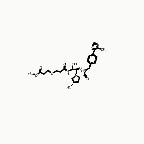 Cc1ncsc1-c1ccc(CNC(=O)[C@@H]2C[C@H](O)CN2C(=O)[C@@H](NC(=O)CCOCCC(=O)OC(C)(C)C)C(C)(C)C)cc1